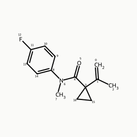 C=C(C)C1(C(=O)N(C)c2ccc(F)cc2)CC1